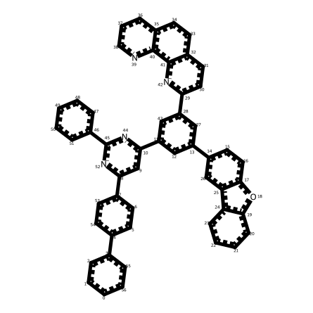 c1ccc(-c2ccc(-c3cc(-c4cc(-c5ccc6oc7ccccc7c6c5)cc(-c5ccc6ccc7cccnc7c6n5)c4)nc(-c4ccccc4)n3)cc2)cc1